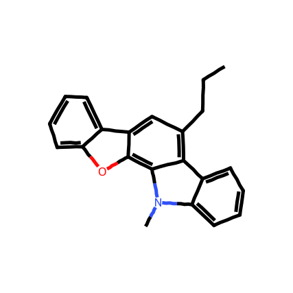 CCCc1cc2c3ccccc3oc2c2c1c1ccccc1n2C